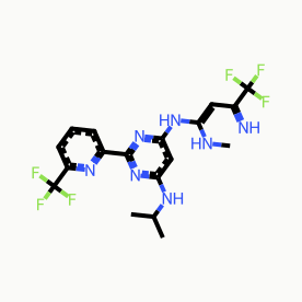 CN/C(=C\C(=N)C(F)(F)F)Nc1cc(NC(C)C)nc(-c2cccc(C(F)(F)F)n2)n1